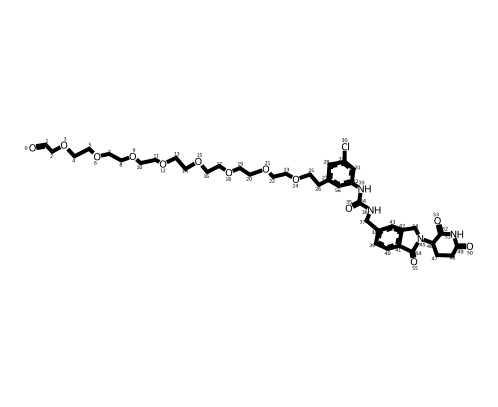 O=CCOCCOCCOCCOCCOCCOCCOCCOCCc1cc(Cl)cc(NC(=O)NCc2ccc3c(c2)CN(C2CCC(=O)NC2=O)C3=O)c1